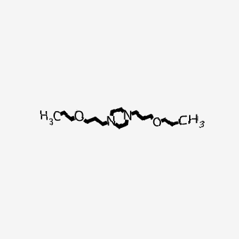 CCCOCCCN1CCN(CCCOCCC)CC1